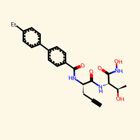 C#CC[C@H](NC(=O)c1ccc(-c2ccc(CC)cc2)cc1)C(=O)N[C@H](C(=O)NO)[C@@H](C)O